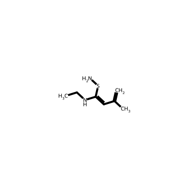 C=C(C)/C=C(/NCC)SN